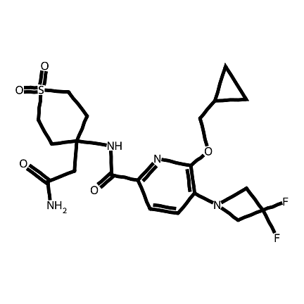 NC(=O)CC1(NC(=O)c2ccc(N3CC(F)(F)C3)c(OCC3CC3)n2)CCS(=O)(=O)CC1